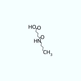 CCCCCNC(=O)CCCC(=O)O